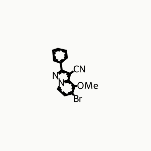 COc1c(Br)ccn2nc(-c3ccccc3)c(C#N)c12